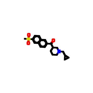 CS(=O)(=O)c1ccc2cc(C(=O)C3CCCN(CC4CC4)C3)ccc2c1